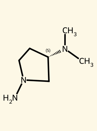 CN(C)[C@H]1CCN(N)C1